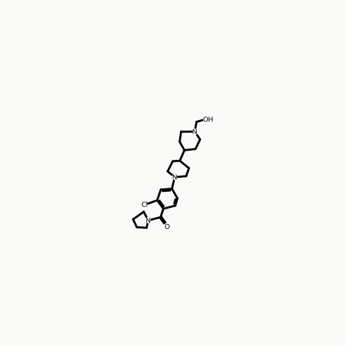 O=C(c1ccc(N2CCC(C3CCN(CO)CC3)CC2)cc1Cl)N1CCCC1